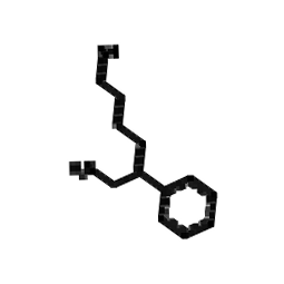 N=C/C=C/C=C(\CN)c1ccccc1